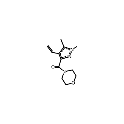 C=Cc1c(C(=O)N2CCOCC2)nn(C)c1C